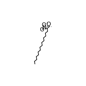 CCCCCCCCCCCCCCCC([C]=O)[N+](=O)[O-]